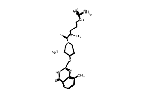 Cc1cccc2c(=O)[nH]c(CSC3CCN(C(=O)[C@H](N)CCCNC(=N)N)CC3)nc12.Cl